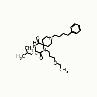 CCOCCCN1C(=O)[C@H](CC(C)C)NC(=O)C12CCN(CCCCc1ccccc1)CC2